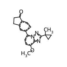 COc1ccc(-c2ccc3c(c2)CCC3=O)n2nc(C3(C)CC3)nc12